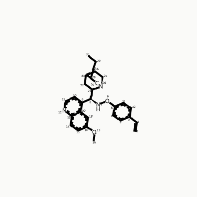 C=Cc1ccc(ON[C@@H](c2ccnc3ccc(OC)cc23)C2CC3CC[N@]2CC3CC)cc1